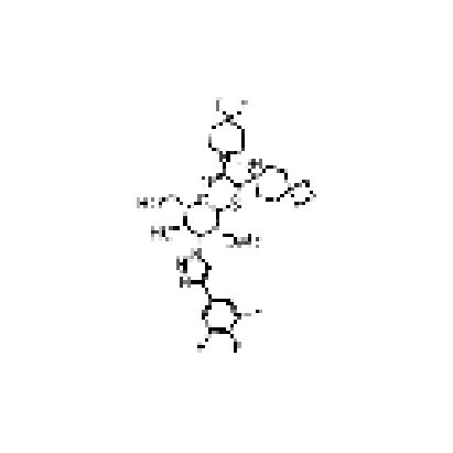 CO[C@@H]1[C@@H](n2cc(-c3cc(F)c(F)c(F)c3)nn2)[C@@H](O)[C@@H](CO)O[C@H]1SC(C(=O)N1CCC(F)(F)CC1)C1(O)CCC2(CCC2)CC1